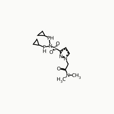 CN(C)C(=O)Cn1ccc(S(=O)(=O)N(PC2CC2)PC2CC2)n1